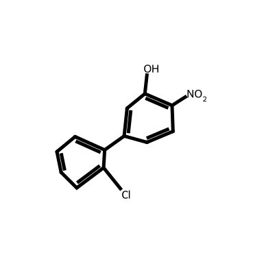 O=[N+]([O-])c1ccc(-c2ccccc2Cl)cc1O